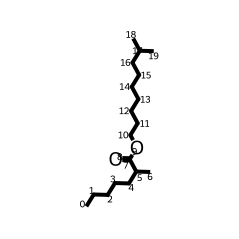 CCCCCC(C)C(=O)OCCCCCCCC(C)C